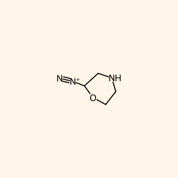 N#[N+]C1CNCCO1